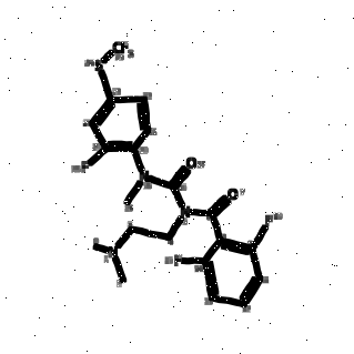 CN(C)CCN(C(=O)c1c(F)cccc1F)C(=O)N(C)c1ccc(SC(F)(F)F)cc1F